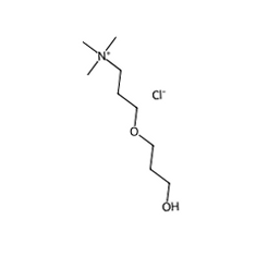 C[N+](C)(C)CCCOCCCO.[Cl-]